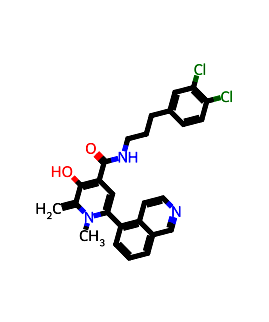 C=C1C(O)=C(C(=O)NCCCc2ccc(Cl)c(Cl)c2)C=C(c2cccc3cnccc23)N1C